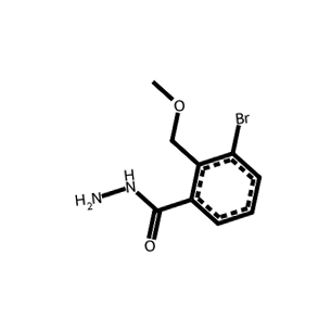 COCc1c(Br)cccc1C(=O)NN